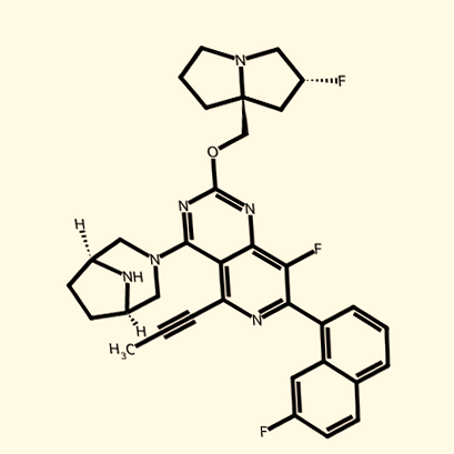 CC#Cc1nc(-c2cccc3ccc(F)cc23)c(F)c2nc(OC[C@@]34CCCN3C[C@H](F)C4)nc(N3C[C@H]4CC[C@@H](C3)N4)c12